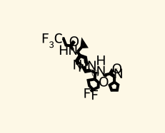 O=C(CCC(F)(F)F)NC(c1cnn2cc([C@@H](NC(=O)c3conc3C3CCCC3)C3CCC(F)(F)CC3)nc2c1)C1CC1